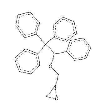 c1ccc(C(OCC2CO2)C(c2ccccc2)(c2ccccc2)c2ccccc2)cc1